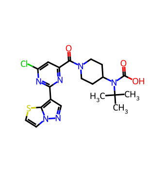 CC(C)(C)N(C(=O)O)C1CCN(C(=O)c2cc(Cl)nc(-c3cnn4ccsc34)n2)CC1